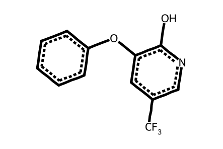 Oc1ncc(C(F)(F)F)cc1Oc1ccccc1